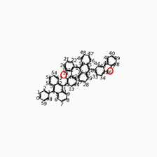 c1ccc(-c2c3ccccc3c(-c3cccc4c3oc3cccc(-c5c6ccccc6c(-c6ccc7oc8ccccc8c7c6)c6ccccc56)c34)c3ccccc23)cc1